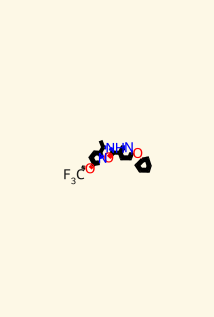 CC(NC(=O)c1ccc(Oc2ccccc2)nc1)c1ccc(OCC(F)(F)F)cn1